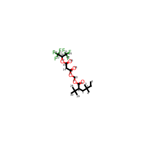 CCC(C)(C)CC(C(=O)OCOC(=O)CC(=O)OC(C(F)(F)F)C(F)(F)F)C(C)(C)C